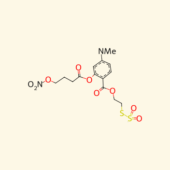 CNc1ccc(C(=O)OCCSS(C)(=O)=O)c(OC(=O)CCCO[N+](=O)[O-])c1